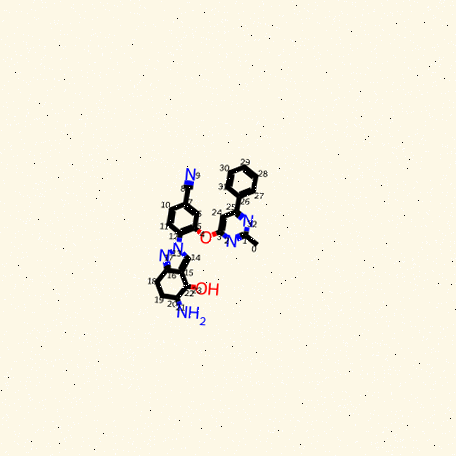 Cc1nc(Oc2cc(C#N)ccc2-n2cc3c(n2)CCC(N)C3O)cc(-c2ccccc2)n1